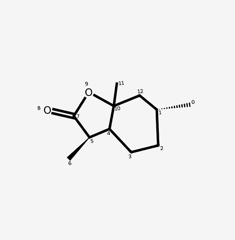 C[C@@H]1CCC2[C@@H](C)C(=O)OC2(C)C1